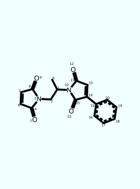 CC(CN1C(=O)C=CC1=O)N1C(=O)C=C(c2ccccc2)C1=O